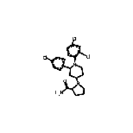 NC(=O)C1CCCN1C1CCN(c2ccc(Cl)cc2Cl)C(c2ccc(Cl)cc2)C1